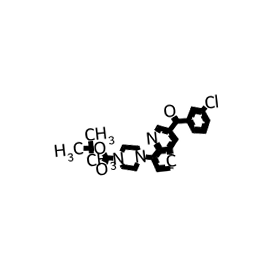 CC(C)(C)OC(=O)N1CCN(c2cccc3cc(C(=O)c4cccc(Cl)c4)cnc23)CC1